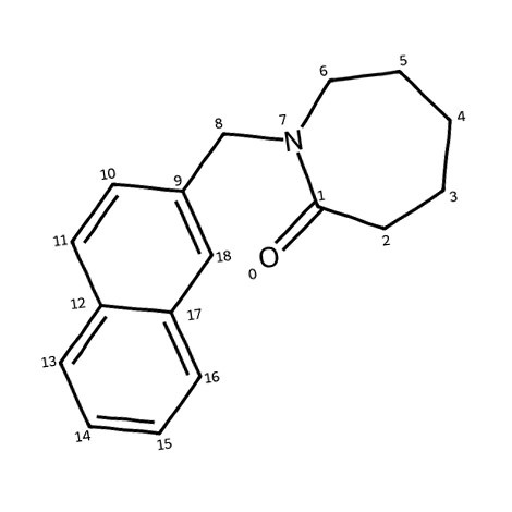 O=C1CCCCCN1Cc1ccc2ccccc2c1